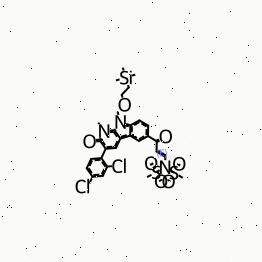 Cn1c(=O)c(-c2ccc(Cl)cc2Cl)cc2c3cc(C(=O)/C=C/N(S(C)(=O)=O)S(C)(=O)=O)ccc3n(COCC[Si](C)(C)C)c21